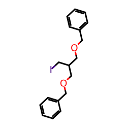 ICC(COCc1ccccc1)COCc1ccccc1